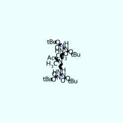 CC(=O)C(C)C(C)N(CCCN/C(=N\C(=O)OC(C)(C)C)NC(=O)OC(C)(C)C)CCCN/C(=N\C(=O)OC(C)(C)C)NC(=O)OC(C)(C)C